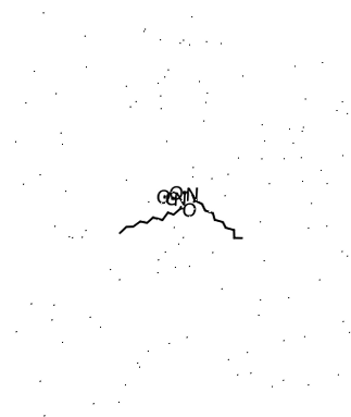 CCCCCCCCCC(N=C=O)OC(CCCCCCCCC)N=C=O